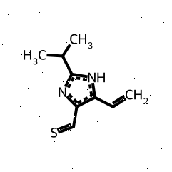 C=Cc1[nH]c(C(C)C)nc1C=S